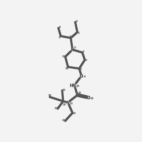 CCC(CC)N1CCC(ONC(=O)N(CC)C(C)(C)C)CC1